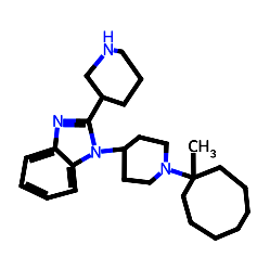 CC1(N2CCC(n3c(C4CCCNC4)nc4ccccc43)CC2)CCCCCCC1